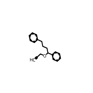 C#CCOC(CCCc1ccccc1)c1ccccc1